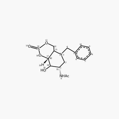 CC(=O)N[C@H]1CN(Cc2ccccc2)C2COS(=O)O[C@H]2C1O